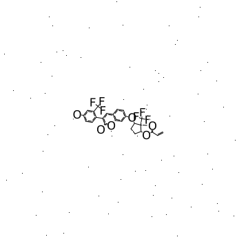 C=CC(=O)OC1CCC(Oc2ccc3cc(-c4ccc(OC)cc4C(F)(F)F)c(=O)oc3c2)C1(C)C(F)(F)F